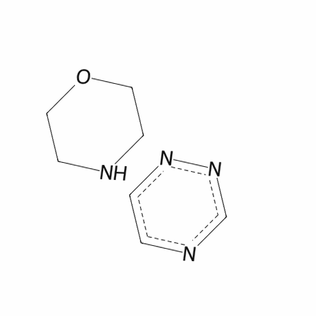 C1COCCN1.c1cnncn1